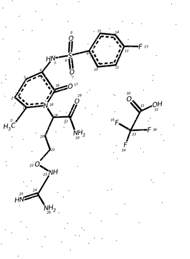 Cc1ccc(NS(=O)(=O)c2ccc(F)cc2)c(=O)n1C(CCONC(=N)N)C(N)=O.O=C(O)C(F)(F)F